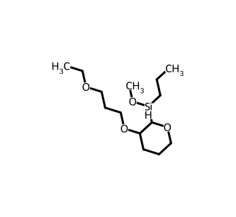 CCC[SiH](OC)C1OCCCC1OCCCOCC